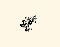 CC(c1cc(F)c(NC(=O)[C@@H](NC(=O)c2ccnn2C(C)C)C(C2CC2)C2CC2)cc1OC(F)(F)F)C(O)NCC(F)(F)F